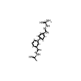 CC(=N)N/N=C(\C)c1cccc(-c2ccc(/C(C)=N/NC(=N)N)cc2)c1